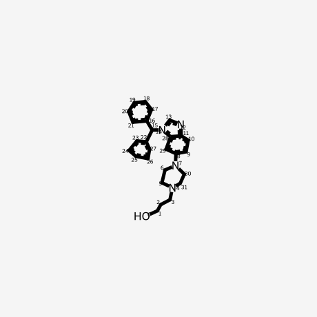 OCCCN1CCN(c2ccc3ncn(C(c4ccccc4)c4ccccc4)c3c2)CC1